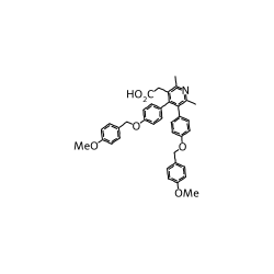 COc1ccc(COc2ccc(-c3c(C)nc(C)c(CC(=O)O)c3-c3ccc(OCc4ccc(OC)cc4)cc3)cc2)cc1